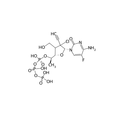 C#CC1(Cl)C(CO)[C@@H]([C@@H](C)OP(=O)(O)OP(=O)(O)OP(=O)(O)O)O[C@H]1n1cc(F)c(N)nc1=O